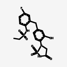 CCS(=O)(=O)Nc1ccc(F)cc1Cc1ccc(N2CC(=O)NS2(=O)=O)c(O)c1